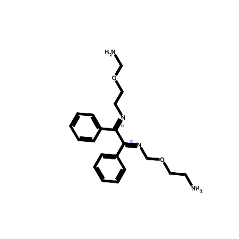 NCCOC/N=C(/C(=N/CCOCN)c1ccccc1)c1ccccc1